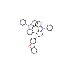 c1ccc(-n2c3ccccc3c3c(-c4c(-c5ccc6oc7ccccc7c6c5)ccc5c4c4ccccc4n5-c4ccccc4)cccc32)cc1